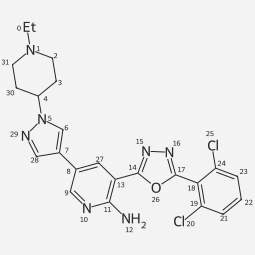 CCN1CCC(n2cc(-c3cnc(N)c(-c4nnc(-c5c(Cl)cccc5Cl)o4)c3)cn2)CC1